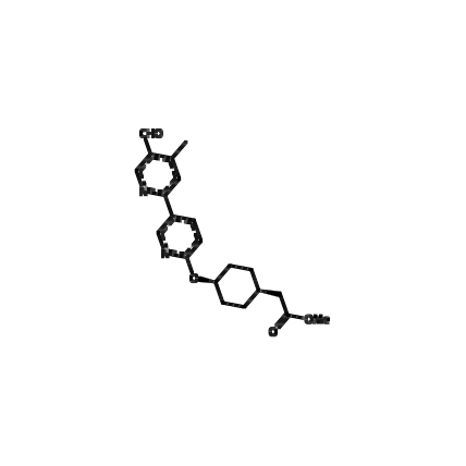 COC(=O)C[C@H]1CC[C@@H](Oc2ccc(-c3cc(C)c(C=O)cn3)cn2)CC1